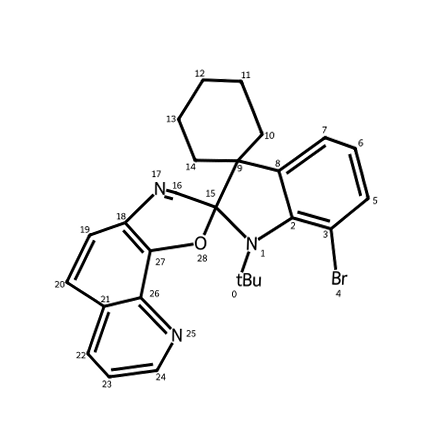 CC(C)(C)N1c2c(Br)cccc2C2(CCCCC2)C12C=Nc1ccc3cccnc3c1O2